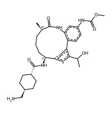 COC(=O)Nc1ccc2c(c1)NC(=O)[C@H](C)CCC[C@H](NC(=O)[C@H]1CC[C@H](CN)CC1)c1cc-2c(C(C)O)s1